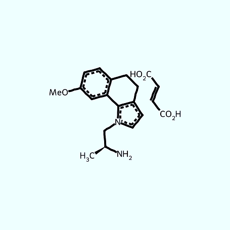 COc1ccc2c(c1)-c1c(ccn1C[C@H](C)N)CC2.O=C(O)/C=C/C(=O)O